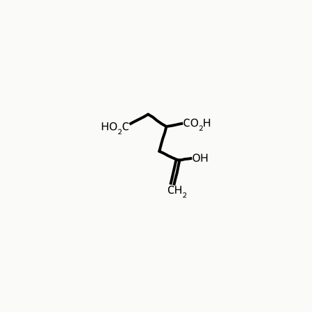 C=C(O)CC(CC(=O)O)C(=O)O